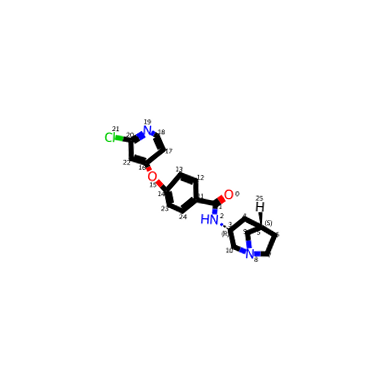 O=C(N[C@@H]1C[C@@H]2CCN(C2)C1)c1ccc(Oc2ccnc(Cl)c2)cc1